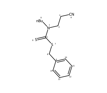 CCCCN(CCC#N)C(=S)SCc1ccccc1